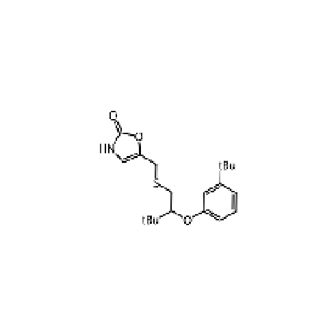 CC(C)(C)c1cccc(OC(CSCc2c[nH]c(=O)o2)C(C)(C)C)c1